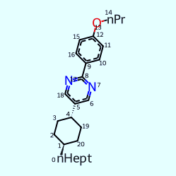 CCCCCCC[C@H]1CC[C@H](c2cnc(-c3ccc(OCCC)cc3)nc2)CC1